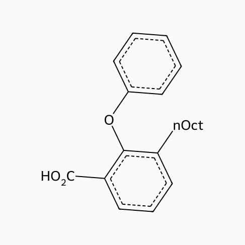 CCCCCCCCc1cccc(C(=O)O)c1Oc1ccccc1